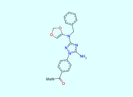 CNC(=O)c1ccc(-n2nc(N(Cc3ccccc3)C3=COCO3)nc2N)cc1